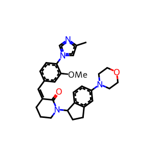 COc1cc(C=C2CCCN(C3CCc4cc(N5CCOCC5)ccc43)C2=O)ccc1-n1cnc(C)c1